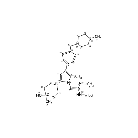 C=N/C(=N\n1c(C)c(-c2ccc(CN3CCN(C)CC3)cc2)cc1[C@H]1CC[C@](C)(O)CC1)N[C@@H](C)CC